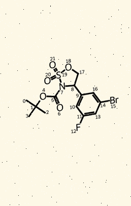 CC(C)(C)OC(=O)N1C(c2cc(F)cc(Br)c2)COS1(=O)=O